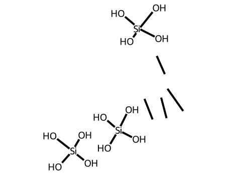 CC.CC.CC.CC.O[Si](O)(O)O.O[Si](O)(O)O.O[Si](O)(O)O